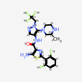 C[C@H]1CN(c2c(NC(=O)c3nc(-c4c(F)cccc4F)sc3N)cnn2CC(F)(F)F)CCN1